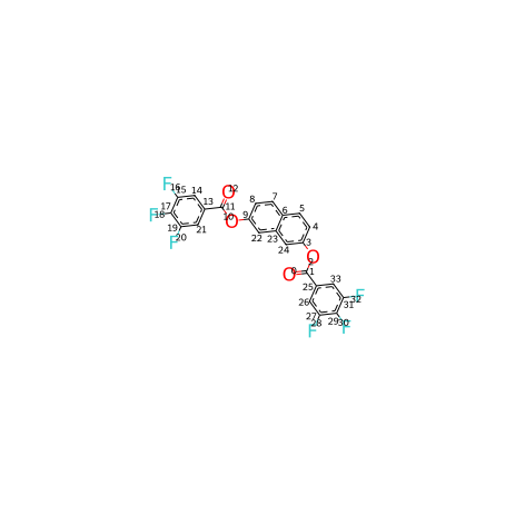 O=C(Oc1ccc2ccc(OC(=O)c3cc(F)c(F)c(F)c3)cc2c1)c1cc(F)c(F)c(F)c1